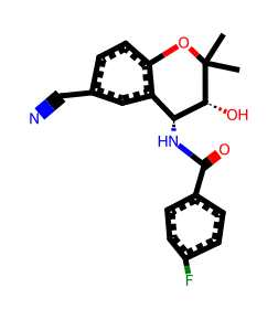 CC1(C)Oc2ccc(C#N)cc2[C@@H](NC(=O)c2ccc(F)cc2)[C@H]1O